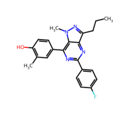 CCCc1nn(C)c2c(-c3ccc(O)c(C)c3)nc(-c3ccc(F)cc3)nc12